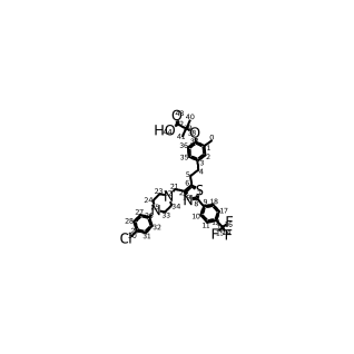 Cc1cc(CCc2sc(-c3ccc(C(F)(F)F)cc3)nc2CN2CCN(c3ccc(Cl)cc3)CC2)ccc1OC(C)(C)C(=O)O